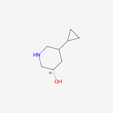 O[C@@H]1CNCC(C2CC2)C1